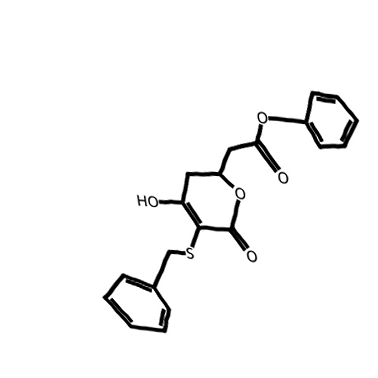 O=C(CC1CC(O)=C(SCc2ccccc2)C(=O)O1)Oc1ccccc1